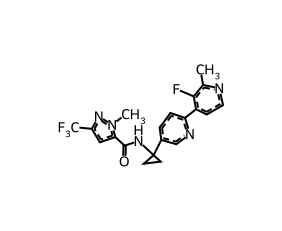 Cc1nccc(-c2ccc(C3(NC(=O)c4cc(C(F)(F)F)nn4C)CC3)cn2)c1F